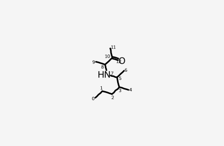 CCCC(C)C(C)NC(C)C(C)=O